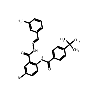 Cc1cccc(C=NNC(=O)c2cc(Br)ccc2NC(=O)c2ccc(C(C)(C)C)cc2)c1